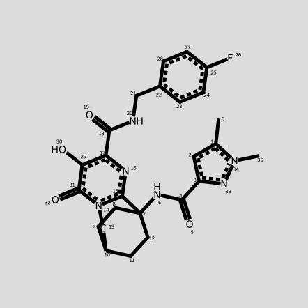 Cc1cc(C(=O)NC23CCC(CC2)Cn2c3nc(C(=O)NCc3ccc(F)cc3)c(O)c2=O)nn1C